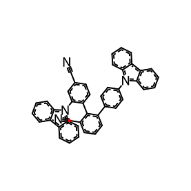 N#Cc1ccc(-c2c(C#N)cccc2-c2ccc(-n3c4ccccc4c4ccccc43)cc2)c(-n2c3ccccc3c3ccccc32)c1